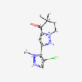 CC(C)n1ncc(Cl)c1-c1cc2n(n1)CCC(C)(C)C2=O